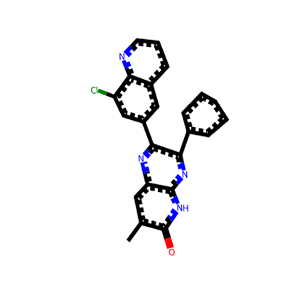 Cc1cc2nc(-c3cc(Cl)c4ncccc4c3)c(-c3ccccc3)nc2[nH]c1=O